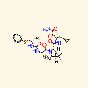 CC(C)[C@@H](CSc1ccccc1)NC(=O)N[C@H](C(=O)N1C[C@H]2[C@@H]([C@H]1C(=O)NC(CC1CC1)C(=O)C(N)=O)C2(C)C)C(C)(C)C